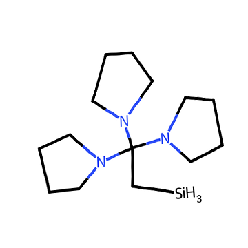 [SiH3]CC(N1CCCC1)(N1CCCC1)N1CCCC1